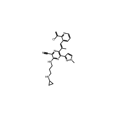 C=C(Cl)c1ncccc1/C=C(\C)c1nc(C#N)c(NCCCNC2CC2)nc1-c1ccn(C)n1